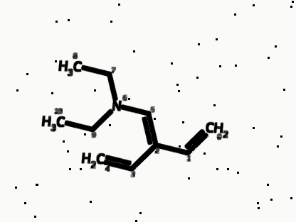 C=CC(C=C)=CN(CC)CC